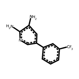 Nc1cc(-c2cccc(C(F)(F)F)c2)cnc1N